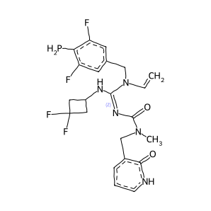 C=CN(Cc1cc(F)c(P)c(F)c1)/C(=N\C(=O)N(C)Cc1ccc[nH]c1=O)NC1CC(F)(F)C1